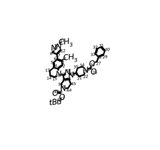 Cc1cc2c(cc1-c1cnn(C)c1)CCCN2c1nn(C2CCN(C(=O)OCc3ccccc3)CC2)c2c1CN(C(=O)OC(C)(C)C)CC2